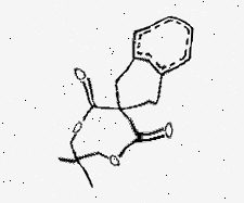 CC1(C)OC(=O)C2(Cc3ccccc3C2)C(=O)O1